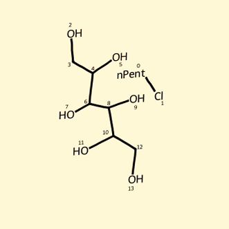 CCCCCCl.OCC(O)C(O)C(O)C(O)CO